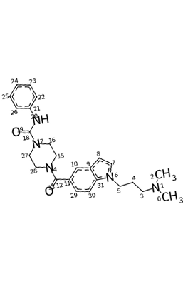 CN(C)CCCn1ccc2cc(C(=O)N3CCN(C(=O)Nc4ccccc4)CC3)ccc21